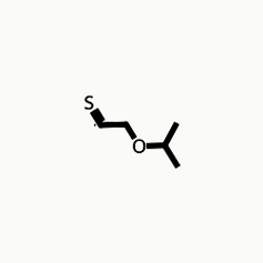 CC(C)OC[C]=S